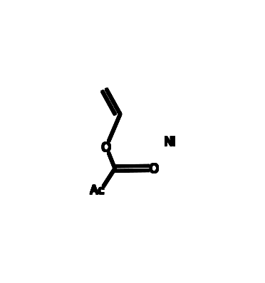 C=COC(=O)C(C)=O.[Ni]